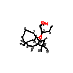 CCC(CO)OC12CCCC(C)(CCC3C1CC3(C)C)C2